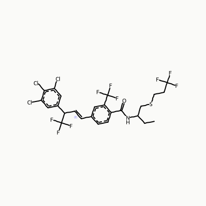 CCC(CSCCC(F)(F)F)NC(=O)c1ccc(/C=C/C(c2cc(Cl)c(Cl)c(Cl)c2)C(F)(F)F)cc1C(F)(F)F